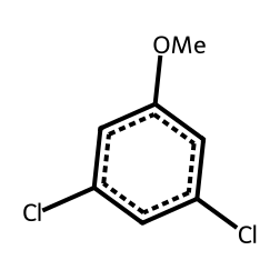 [CH2-][OH+]c1cc(Cl)cc(Cl)c1